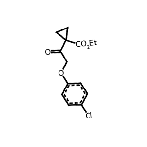 CCOC(=O)C1(C(=O)COc2ccc(Cl)cc2)CC1